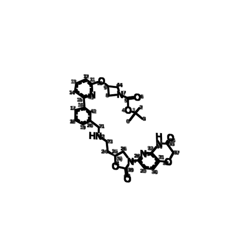 CC(C)(C)OC(=O)N1CC(Oc2cccc(-c3cccc(CNCC[C@H]4CN(c5ccc6c(n5)NC(=O)CO6)C(=O)O4)c3)n2)C1